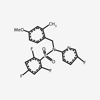 COc1ccc(CN(c2ccc(F)cn2)S(=O)(=O)c2c(F)cc(F)cc2F)c(C)c1